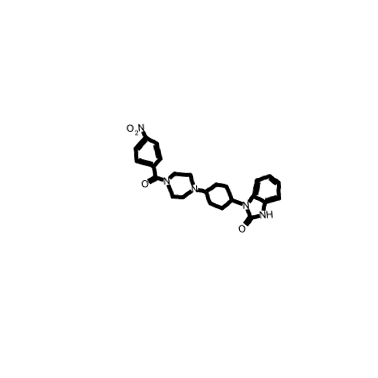 O=C(c1ccc([N+](=O)[O-])cc1)N1CCN(C2CCC(n3c(=O)[nH]c4ccccc43)CC2)CC1